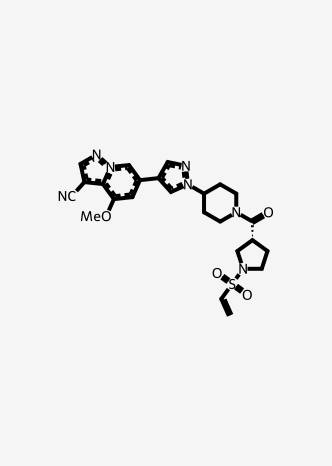 C=CS(=O)(=O)N1CC[C@@H](C(=O)N2CCC(n3cc(-c4cc(OC)c5c(C#N)cnn5c4)cn3)CC2)C1